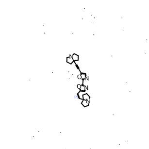 C(#CC12CCCN1CCC2)c1cnc(-c2ncc(/C=C\C34CCCN3CCC4)o2)o1